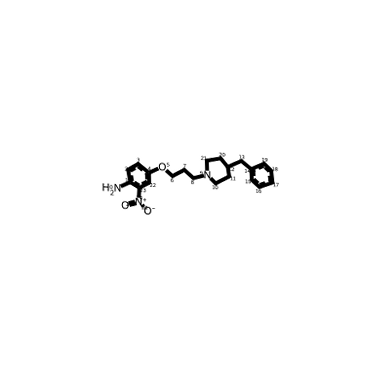 Nc1ccc(OCCCN2CCC(Cc3ccccc3)CC2)cc1[N+](=O)[O-]